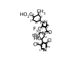 CC1CC(n2ncc(C(=O)N(CC(O)c3c(Cl)cncc3Cl)CC(C)(C)C)c2C(F)(F)F)CCC1C(=O)O